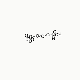 O=C(O)NCCOCCOCCOCCC(=O)ON1C(=O)CCC1=O